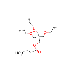 C=CCOCC(COCC=C)(COCC=C)COC(=O)CCC(=O)O